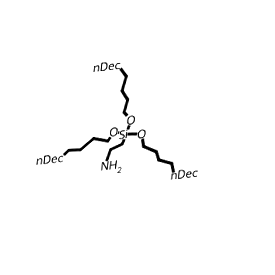 CCCCCCCCCCCCCCO[Si](CCN)(OCCCCCCCCCCCCCC)OCCCCCCCCCCCCCC